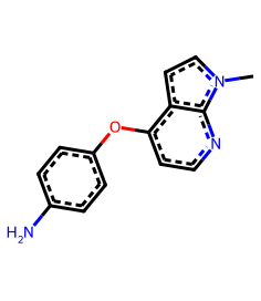 Cn1ccc2c(Oc3ccc(N)cc3)ccnc21